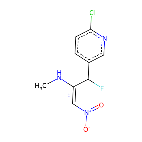 CN/C(=C/[N+](=O)[O-])C(F)c1ccc(Cl)nc1